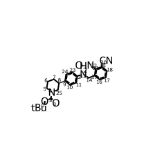 CC(C)(C)OC(=O)N1CCC[C@@H](c2ccc(NCc3cccc(C#N)c3[N+](=O)[O-])cc2)C1